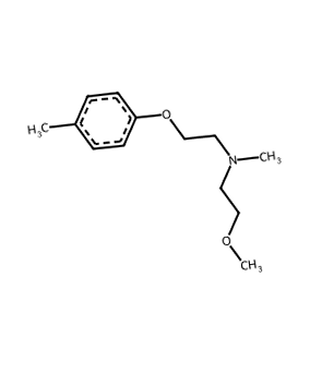 COCCN(C)CCOc1ccc(C)cc1